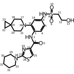 O=C(Nc1ccc(NS(=O)(=O)CCO)cc1N1CCC2(CC1)CC2)c1csc(N2CCCCC2)n1